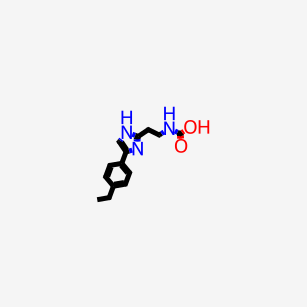 CCc1ccc(-c2c[nH]c(CCNC(=O)O)n2)cc1